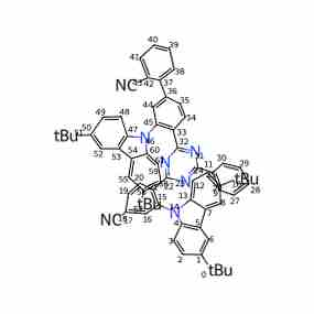 CC(C)(C)c1ccc2c(c1)c1cc(C(C)(C)C)ccc1n2-c1cc(C#N)ccc1-c1nc(-c2ccccc2)nc(-c2ccc(-c3ccccc3C#N)cc2-n2c3ccc(C(C)(C)C)cc3c3cc(C(C)(C)C)ccc32)n1